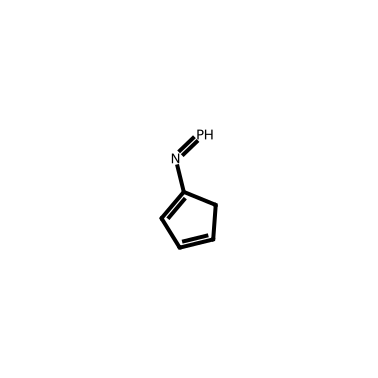 P=NC1=CC=CC1